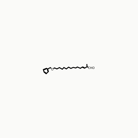 CC(C=O)C=CCCCCCCCCCCCCOCc1ccccc1